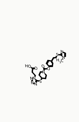 Cn1ccnc1SCCc1ccc(OC(=O)N2CCC(Sc3nnnn3CCC(=O)O)CC2)cc1